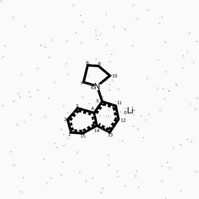 [Li].c1ccc2c(N3CCCC3)cccc2c1